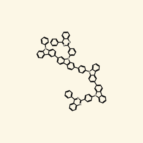 c1ccc(-c2nc(-c3ccc(-n4c5ccccc5c5ccc(-c6ccc7c(c6)c6ccccc6n7-c6ccc(-c7ccc8c9ccc(-c%10ccc%11c(c%10)c%10ccccc%10n%11-c%10ccccc%10)cc9n(-c9cccc(-c%10nc(-c%11ccccc%11)c%11ccccc%11n%10)c9)c8c7)cc6)cc54)cc3)nc3ccccc23)cc1